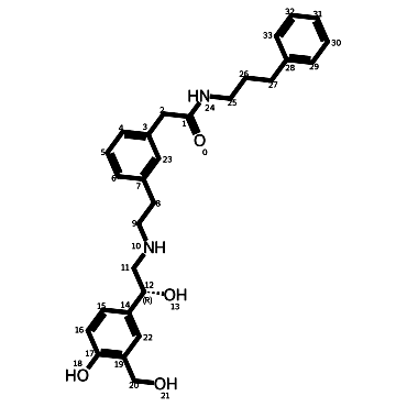 O=C(Cc1cccc(CCNC[C@H](O)c2ccc(O)c(CO)c2)c1)NCCCc1ccccc1